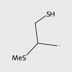 [CH2]C(CS)SC